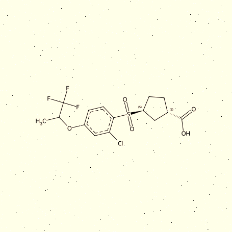 CC(Oc1ccc(S(=O)(=O)[C@H]2CC[C@H](C(=O)O)C2)c(Cl)c1)C(F)(F)F